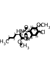 CCCC[C@@H](NS(=O)(=O)c1cc(OC)c(Cl)cc1Br)C(=O)OC